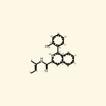 CC=C(C)NC(=O)c1cc2ccccc2c(-c2ccccc2Cl)n1